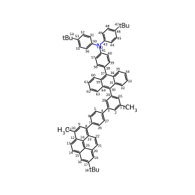 Cc1cc(-c2ccc(-c3cc(C)c4ccc5cc(C(C)(C)C)cc6ccc3c4c56)cc2)cc(-c2c3ccccc3c(-c3ccc(N(c4ccc(C(C)(C)C)cc4)c4ccc(C(C)(C)C)cc4)cc3)c3ccccc23)c1